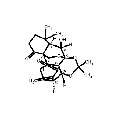 C=C1C(=O)[C@@]23[C@@H]4OC(C)(C)O[C@]25OC[C@]2(C(=O)CCC(C)(C)[C@H]2[C@@H]5O)[C@@H]3CC[C@@H]14